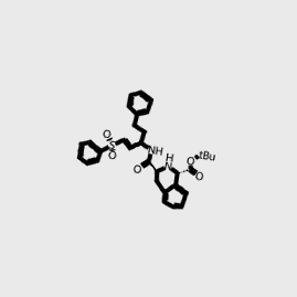 CC(C)(C)OC(=O)[C@H]1N[C@H](C(=O)NC(/C=C/S(=O)(=O)c2ccccc2)CCc2ccccc2)Cc2ccccc21